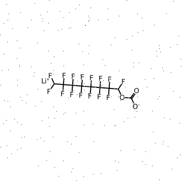 O=C([O-])OC(F)C(F)(F)C(F)(F)C(F)(F)C(F)(F)C(F)(F)C(F)(F)C(F)F.[Li+]